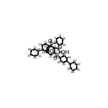 O=C(C(O)P(=O)(c1ccccc1)c1ccc(-c2ccccc2)cc1)C(O)P(=O)(c1ccccc1)c1ccc(-c2ccccc2)cc1